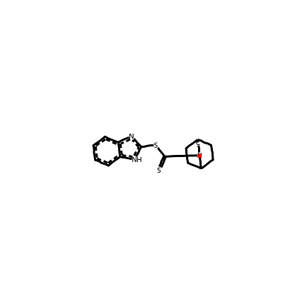 S=C(Sc1nc2ccccc2[nH]1)N1CC2CCC(CC2)C1